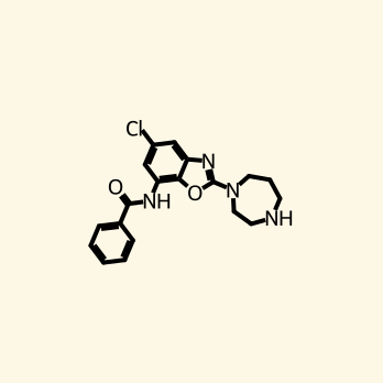 O=C(Nc1cc(Cl)cc2nc(N3CCCNCC3)oc12)c1ccccc1